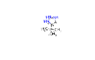 CC(C)(C)C1CNNN1